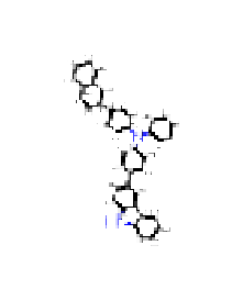 c1ccc(N(c2ccc(-c3ccc4ccccc4c3)cc2)c2ccc(-c3ccc4[nH]c5ccccc5c4c3)cc2)cc1